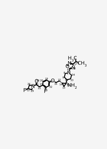 CC(C)c1noc(N2CCC([C@@]3(N)C[C@H]3CCOc3ccc(CC(=O)N4CC(F)C4)c(F)c3)CC2)n1